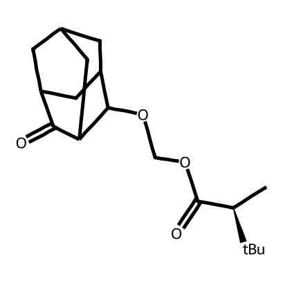 C[C@H](C(=O)OCOC1C2CC3CC(C2)C(=O)C1C3)C(C)(C)C